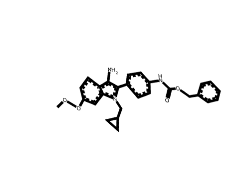 COOc1ccc2c(N)c(-c3ccc(NC(=O)OCc4ccccc4)cc3)n(CC3CC3)c2c1